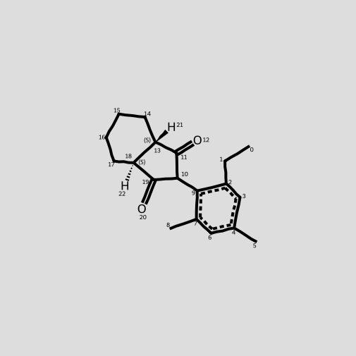 CCc1cc(C)cc(C)c1C1C(=O)[C@H]2CCCC[C@@H]2C1=O